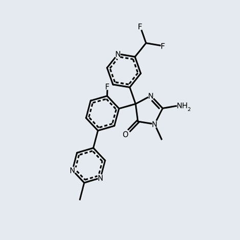 Cc1ncc(-c2ccc(F)c(C3(c4ccnc(C(F)F)c4)N=C(N)N(C)C3=O)c2)cn1